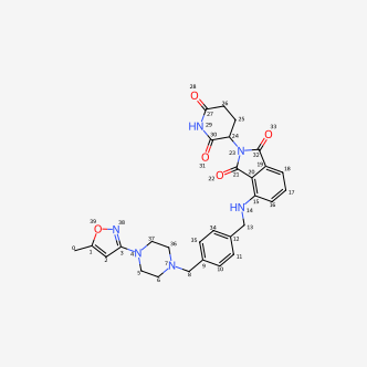 Cc1cc(N2CCN(Cc3ccc(CNc4cccc5c4C(=O)N(C4CCC(=O)NC4=O)C5=O)cc3)CC2)no1